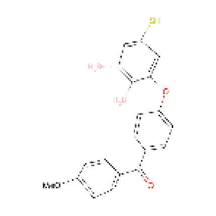 Bc1cc(S)cc(Oc2ccc(C(=O)c3ccc(OC)cc3)cc2)c1B